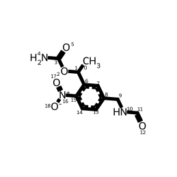 CC(OC(N)=O)c1cc(CNC=O)ccc1[N+](=O)[O-]